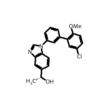 COc1ccc(Cl)cc1-c1cccc(-n2cnc3cc([C@@H](C)O)ccc32)c1